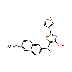 COc1ccc2cc(C(C)c3sc(-c4ccsc4)nc3O)ccc2c1